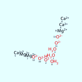 O.O.O.O.[Ca+2].[Ca+2].[Ca+2].[Mg+2].[Mg+2].[Mg+2].[O-2].[O-2].[O-2].[O-2]